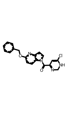 O=C(C1=NCNC(Cl)=C1)n1ccc2nc(OCc3ccccc3)ccc21